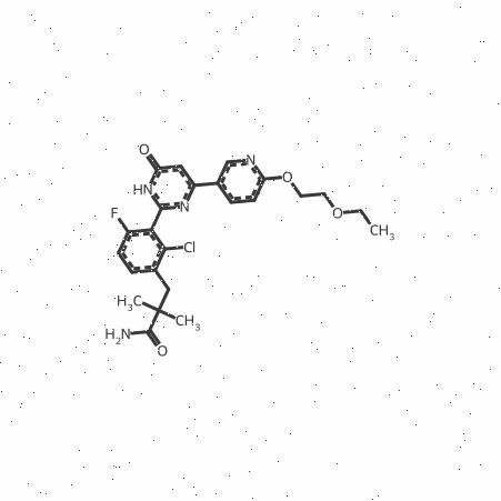 CCOCCOc1ccc(-c2cc(=O)[nH]c(-c3c(F)ccc(CC(C)(C)C(N)=O)c3Cl)n2)cn1